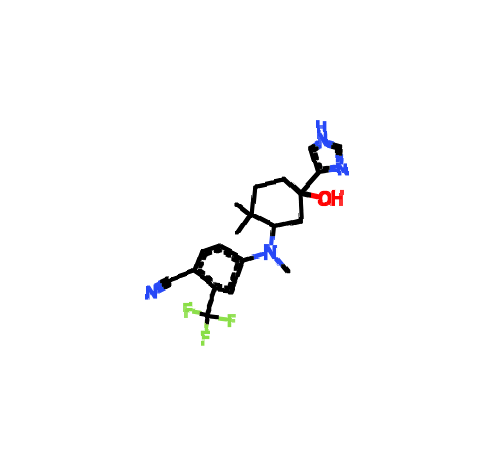 CN(c1ccc(C#N)c(C(F)(F)F)c1)C1CC(O)(c2c[nH]cn2)CCC1(C)C